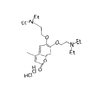 CCN(CC)CCOc1cc2oc(=O)cc(C)c2cc1OCCN(CC)CC.Cl.Cl